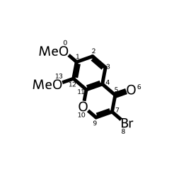 COc1ccc2c(=O)c(Br)coc2c1OC